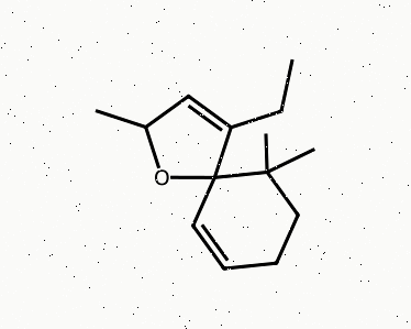 CCC1=CC(C)OC12C=CCCC2(C)C